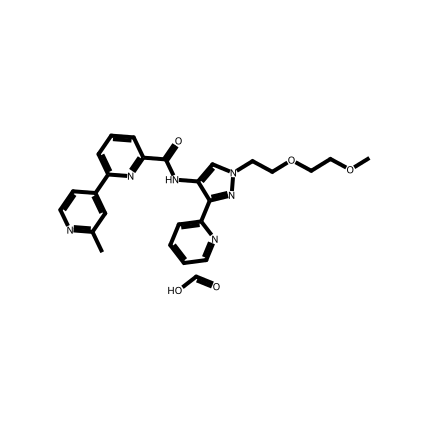 COCCOCCn1cc(NC(=O)c2cccc(-c3ccnc(C)c3)n2)c(-c2ccccn2)n1.O=CO